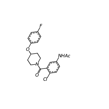 CC(=O)Nc1ccc(Cl)c(C(=O)N2CCC(Oc3ccc(F)cc3)CC2)c1